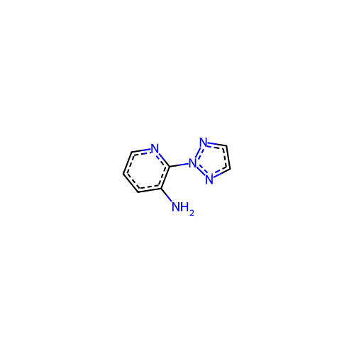 Nc1cccnc1-n1nccn1